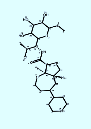 CSC1OC([C@H](NC(=O)[C@H]2NC[C@@H]3CC(C4CCNCC4)CCO[C@H]32)[C@H](C)Cl)C(O)C(O)C1O